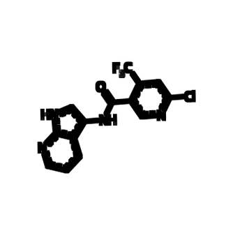 O=C(Nc1c[nH]c2ncccc12)c1cnc(Cl)cc1C(F)(F)F